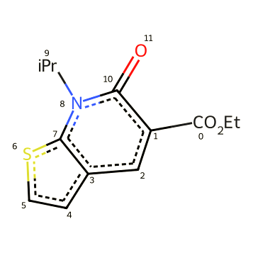 CCOC(=O)c1cc2ccsc2n(C(C)C)c1=O